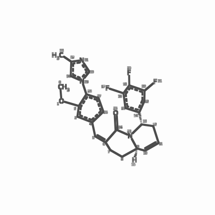 COc1cc(/C=C2/CC[C@@H]3C=CC[C@@H](c4cc(F)c(F)c(F)c4)N3C2=O)ccc1-n1cnc(C)c1